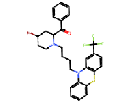 O=C(c1ccccc1)C1CC(Br)CCN1CCCCN1c2ccccc2Sc2ccc(C(F)(F)F)cc21